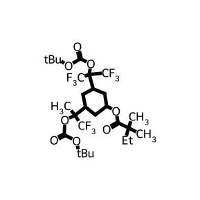 CCC(C)(C)C(=O)OC1CC(C(C)(OC(=O)OC(C)(C)C)C(F)(F)F)CC(C(OC(=O)OC(C)(C)C)(C(F)(F)F)C(F)(F)F)C1